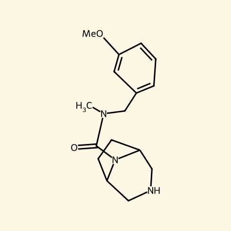 COc1cccc(CN(C)C(=O)N2C3CCC2CNC3)c1